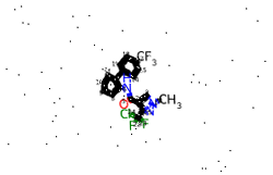 Cn1cc(C(=O)Nc2ccccc2-c2ccc(C(F)(F)F)cc2)c(C(F)(F)Cl)n1